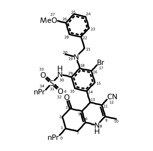 CCCC1CC(=O)C2=C(C1)NC(C)=C(C#N)C2c1cc(Br)c(N(C)Cc2cccc(OC)c2)c(NS(=O)(=O)CCC)c1